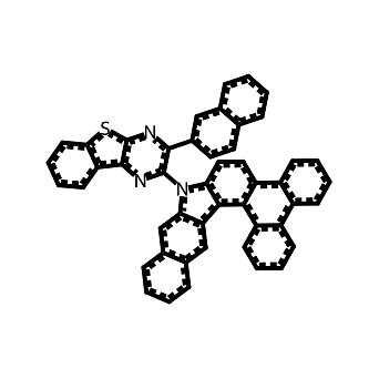 c1ccc2cc(-c3nc4sc5ccccc5c4nc3-n3c4cc5ccccc5cc4c4c5c6ccccc6c6ccccc6c5ccc43)ccc2c1